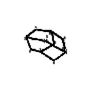 C1C2CC3CC1CN(C2)[N]3